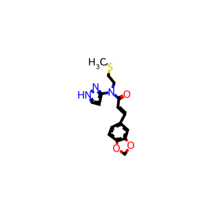 CSCCN(C(=O)/C=C/c1ccc2c(c1)OCO2)c1cc[nH]n1